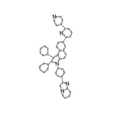 c1ccc(-c2c(-c3ccccc3)n(-c3ccc(-c4cn5ccccc5n4)cc3)c3ccc4cc(-c5cccc(-c6ccncc6)n5)ccc4c23)cc1